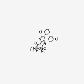 CN(C)S(=O)(=O)c1nn2c(-c3ccc(Cl)cc3)c(-c3ccccc3Cl)cnc2c1C(=O)NN1CCCC1